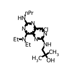 CCCNc1nc(N(CC)CC)c2nc(NCC(C)(C)O)ncc2n1.Cl